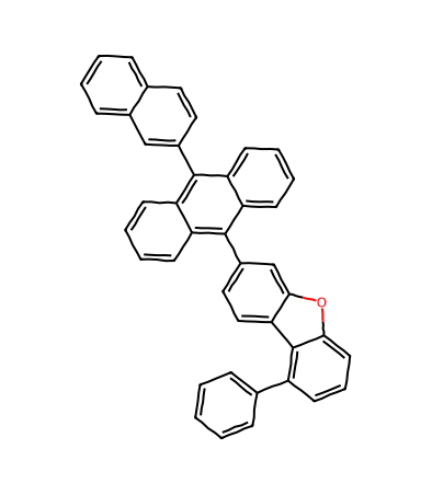 c1ccc(-c2cccc3oc4cc(-c5c6ccccc6c(-c6ccc7ccccc7c6)c6ccccc56)ccc4c23)cc1